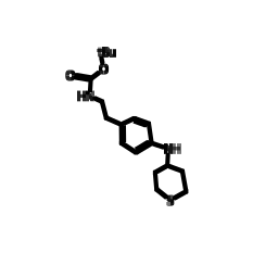 CC(C)(C)OC(=O)NCCc1ccc(NC2CCSCC2)cc1